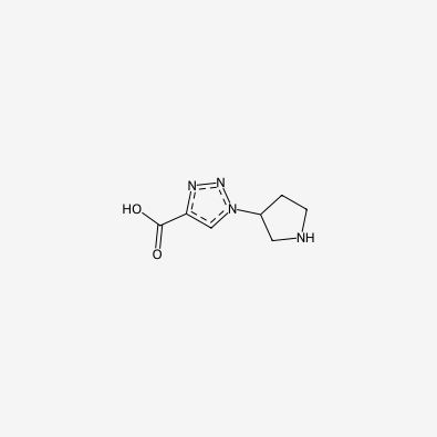 O=C(O)c1cn(C2CCNC2)nn1